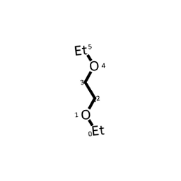 CCO[CH]COCC